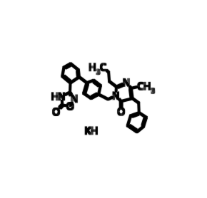 CCCc1nc(C)c(Cc2ccccc2)c(=O)n1Cc1ccc(-c2ccccc2-c2noc(=O)[nH]2)cc1.[KH]